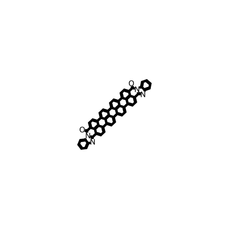 O=c1c2ccc3c4ccc5c6ccc7c8ccc9c(=O)n%10c%11ccccc%11nc%10c%10ccc(c%11ccc(c%12ccc(c%13ccc(c2c3%13)c2nc3ccccc3n12)c4c5%12)c6c7%11)c8c9%10